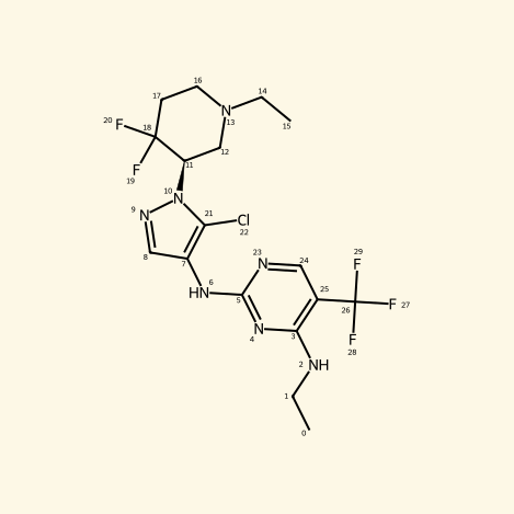 CCNc1nc(Nc2cnn([C@@H]3CN(CC)CCC3(F)F)c2Cl)ncc1C(F)(F)F